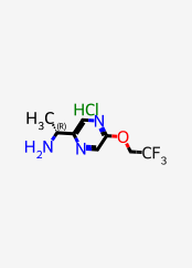 C[C@@H](N)c1cnc(OCC(F)(F)F)cn1.Cl